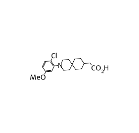 COc1ccc(Cl)c(N2CCC3(CCC(CC(=O)O)CC3)CC2)c1